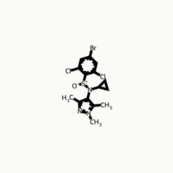 Cc1nn(C)c(C)c1N(C1CC1)[S+]([O-])c1c(Cl)cc(Br)cc1Cl